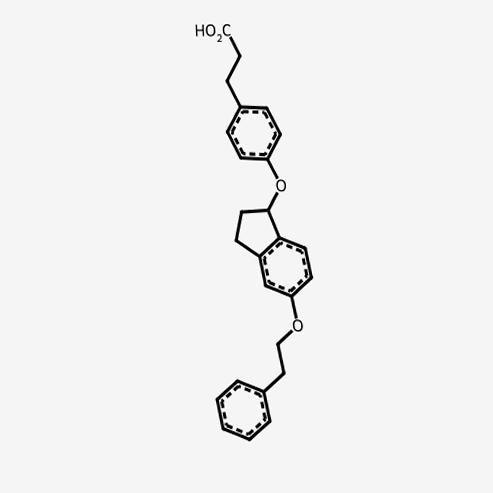 O=C(O)CCc1ccc(OC2CCc3cc(OCCc4ccccc4)ccc32)cc1